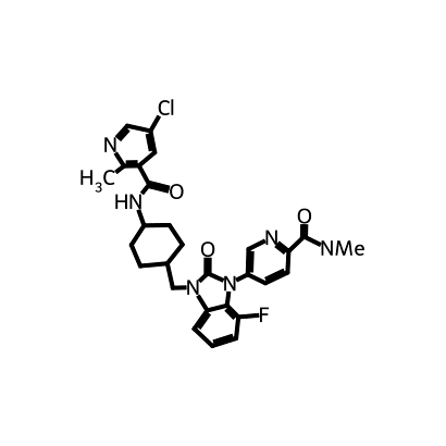 CNC(=O)c1ccc(-n2c(=O)n(CC3CCC(NC(=O)c4cc(Cl)cnc4C)CC3)c3cccc(F)c32)cn1